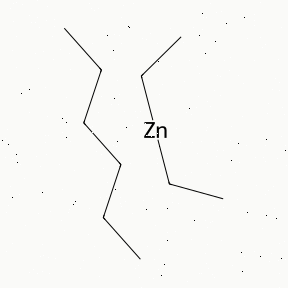 CCCCCC.C[CH2][Zn][CH2]C